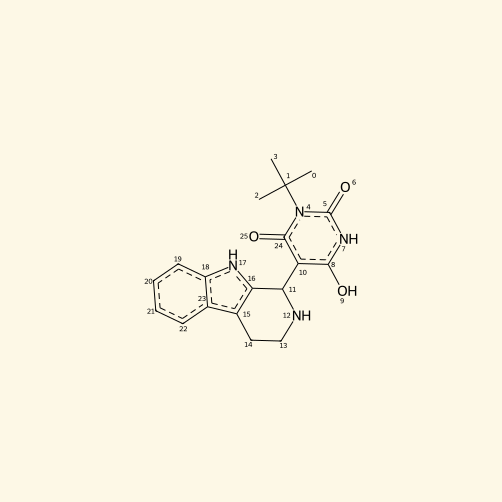 CC(C)(C)n1c(=O)[nH]c(O)c(C2NCCc3c2[nH]c2ccccc32)c1=O